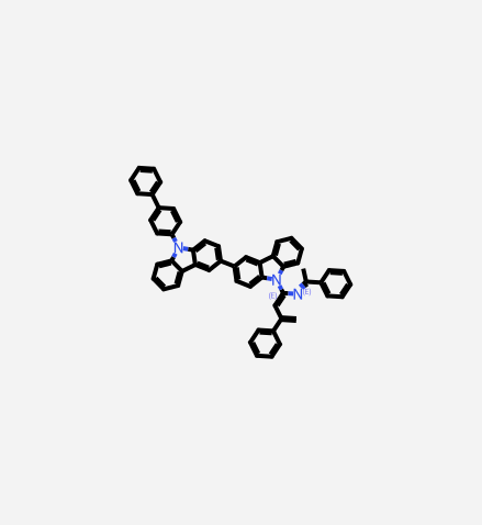 C=C(/C=C(\N=C(/C)c1ccccc1)n1c2ccccc2c2cc(-c3ccc4c(c3)c3ccccc3n4-c3ccc(-c4ccccc4)cc3)ccc21)c1ccccc1